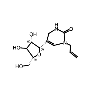 C=CCN1C=C([C@@H]2O[C@H](CO)C(O)[C@@H]2O)CNC1=O